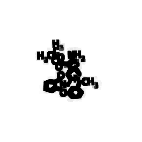 C[C@@H](c1ccccc1)N1Cc2sc(N)c(C(=O)OC(C)(C)C)c2C[C@@H]1CN1C(=O)c2ccccc2C1=O